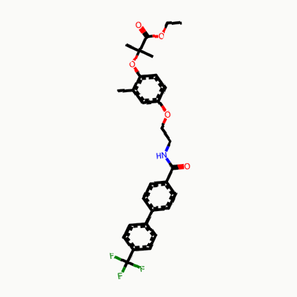 CCOC(=O)C(C)(C)Oc1ccc(OCCNC(=O)c2ccc(-c3ccc(C(F)(F)F)cc3)cc2)cc1C